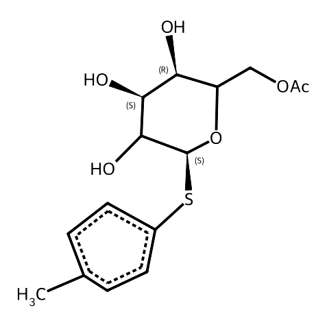 CC(=O)OCC1O[C@@H](Sc2ccc(C)cc2)C(O)[C@@H](O)[C@H]1O